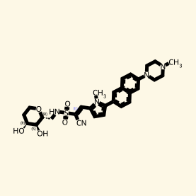 CN1CCN(c2ccc3cc(-c4ccc(/C=C(\C#N)S(=O)(=O)NC[C@H]5OCC[C@@H](O)[C@@H]5O)n4C)ccc3c2)CC1